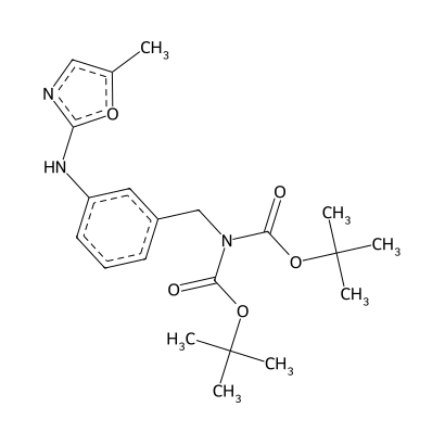 Cc1cnc(Nc2cccc(CN(C(=O)OC(C)(C)C)C(=O)OC(C)(C)C)c2)o1